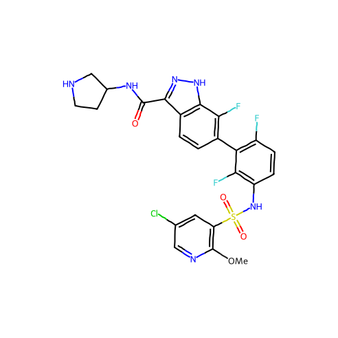 COc1ncc(Cl)cc1S(=O)(=O)Nc1ccc(F)c(-c2ccc3c(C(=O)NC4CCNC4)n[nH]c3c2F)c1F